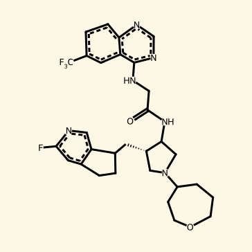 O=C(CNc1ncnc2ccc(C(F)(F)F)cc12)NC1CN(C2CCCOCC2)C[C@@H]1CC1CCc2cc(F)ncc21